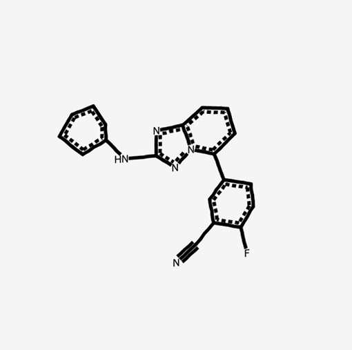 N#Cc1cc(-c2cccc3nc(Nc4ccccc4)nn23)ccc1F